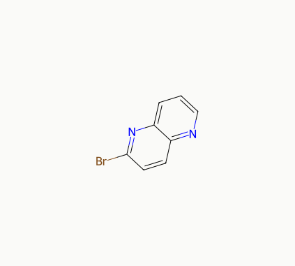 Brc1ccc2ncccc2n1